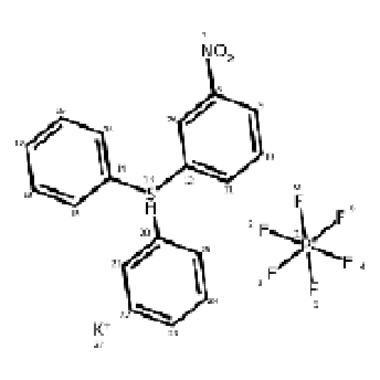 F[P-](F)(F)(F)(F)F.O=[N+]([O-])c1cccc([SH](c2ccccc2)c2ccccc2)c1.[K+]